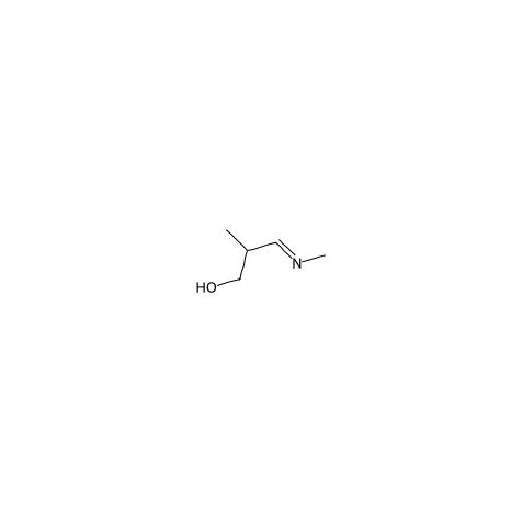 CN=CC(C)CO